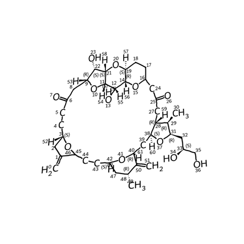 C=C1C[C@@H]2CCC(=O)C[C@H]3O[C@H]4[C@@H](O)[C@H]5OC(CC[C@@H]5O[C@H]4[C@H]3O)CC(=O)C[C@@H]3[C@@H](C)[C@@H](C[C@H](O)CO)O[C@H]3C[C@H]3O[C@@H](CCC1O2)C[C@@H](C)C3=C